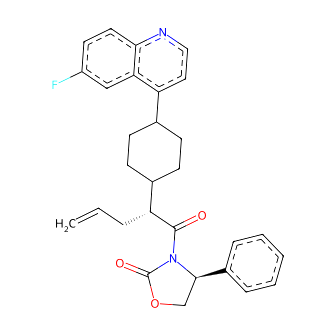 C=CC[C@@H](C(=O)N1C(=O)OC[C@@H]1c1ccccc1)C1CCC(c2ccnc3ccc(F)cc23)CC1